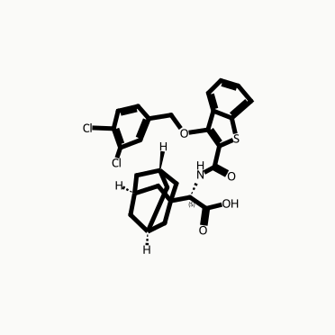 O=C(N[C@H](C(=O)O)C12C[C@H]3C[C@H](C1)C[C@@H](C2)C3)c1sc2ccccc2c1OCc1ccc(Cl)c(Cl)c1